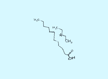 CCCCCCCCCCCC(=O)O.C[CH2][Al][CH2]C